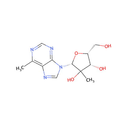 Cc1ncnc2c1ncn2[C@@H]1O[C@H](CO)[C@H](O)C1(C)O